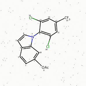 CC(=O)Oc1ccc2ccn(-c3c(Cl)cc(C(F)(F)F)cc3Cl)c2c1